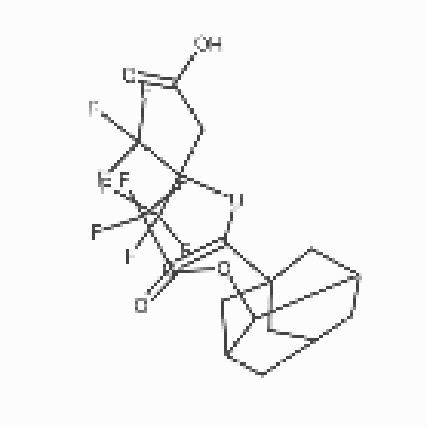 O=C(O)CC(OC(=O)C12CC3CC(C1)C(OC(=O)C(F)(F)F)C(C3)C2)(C(F)(F)F)C(F)(F)F